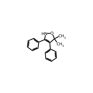 CC1(C)ONC(c2ccccc2)=C1c1ccccc1